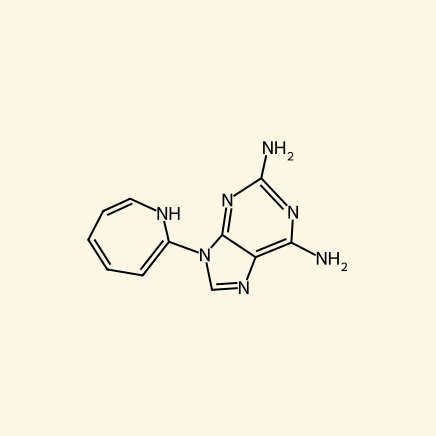 Nc1nc(N)c2ncn(C3=CC=CC=CN3)c2n1